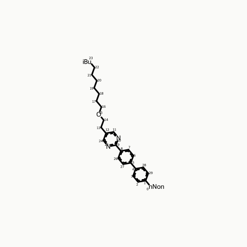 CCCCCCCCCc1ccc(-c2ccc(-c3ncc(CCOCCCCCCCC(C)CC)cn3)cc2)cc1